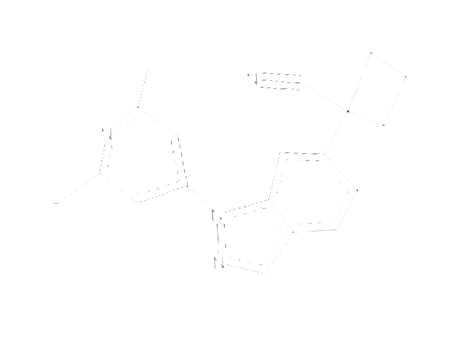 Cc1cc(-n2ncc3ccc(C4(C#N)CCC4)cc32)cc(F)n1